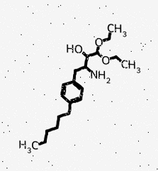 CCCCCCc1ccc(CC(N)C(O)C(OCC)OCC)cc1